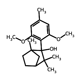 COc1cc(C)cc(OC)c1C1(O)C2(C)CCC(C2)C1(C)C